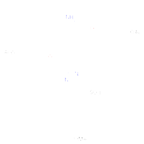 COc1ccc(/N=N/c2cc(OCCOC(C)=O)c(N)cc2OCCOC(C)=O)c(S(=O)(=O)O)c1